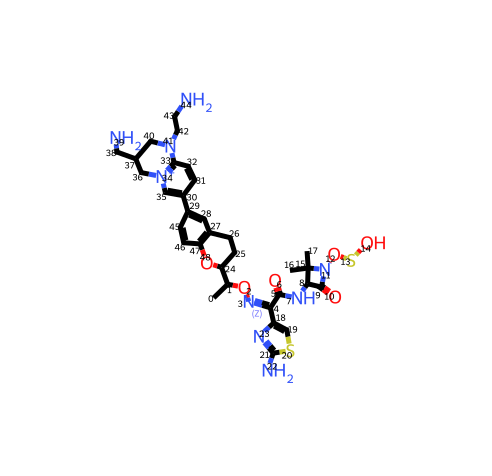 CC(O/N=C(\C(=O)NC1C(=O)N(OSO)C1(C)C)c1csc(N)n1)C1CCc2cc(-c3ccc4[n+](c3)CC(CN)CN4CCN)ccc2O1